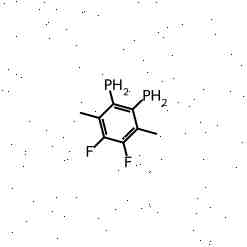 Cc1c(F)c(F)c(C)c(P)c1P